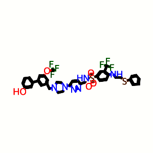 O=C(NS(=O)(=O)c1ccc(NCCSc2ccccc2)c(C(F)(F)F)c1)c1ccc(N2CCN(Cc3cc(OC(F)(F)F)cc(-c4cccc(O)c4)c3)CC2)nn1